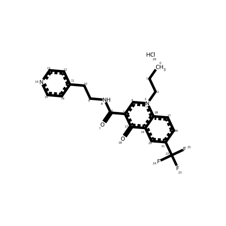 CCCn1cc(C(=O)NCCc2ccncc2)c(=O)c2cc(C(F)(F)F)ccc21.Cl